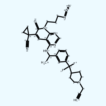 C#CCN1CCC(C(F)(F)c2cccc(C(C)Nc3ncnc4c3cc(C3(C#N)CC3)c(=O)n4CCCN=[N+]=[N-])c2)CC1